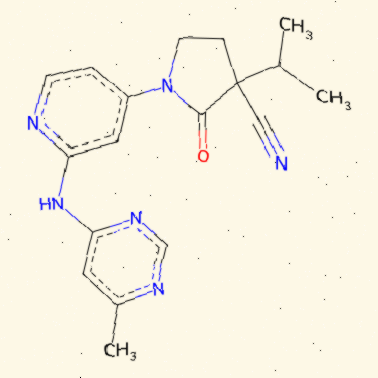 Cc1cc(Nc2cc(N3CCC(C#N)(C(C)C)C3=O)ccn2)ncn1